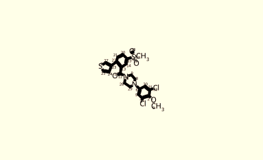 COc1c(Cl)cc(N2CCN(C(=O)c3cc(S(C)(=O)=O)ccc3-c3ccsc3)CC2)cc1Cl